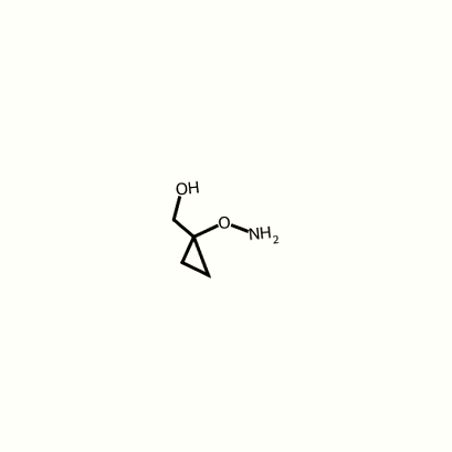 NOC1(CO)CC1